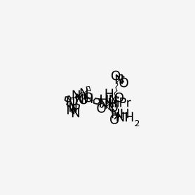 Cc1cccc(-c2nc(CN(C(=O)OCc3ccc(NC(=O)[C@H](CCCNC(N)=O)NC(=O)C(NC(=O)CCCCCN4C(=O)C=CC4=O)C(C)C)cc3)C3CCC3)[nH]c2-c2ccc3ncnn3c2)n1